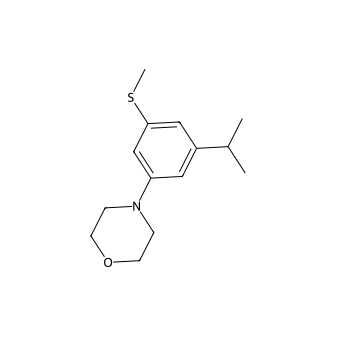 CSc1cc(C(C)C)cc(N2CCOCC2)c1